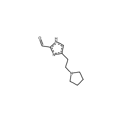 O=Cc1nc(CCN2CCCC2)c[nH]1